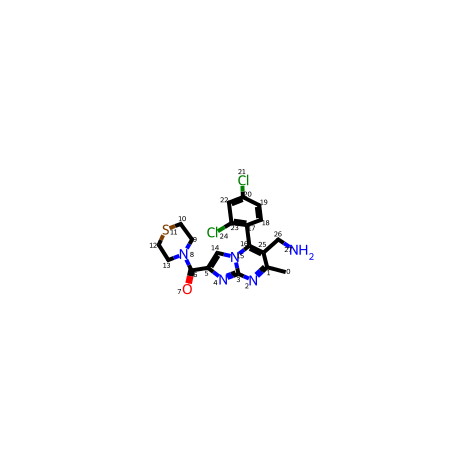 Cc1nc2nc(C(=O)N3CCSCC3)cn2c(-c2ccc(Cl)cc2Cl)c1CN